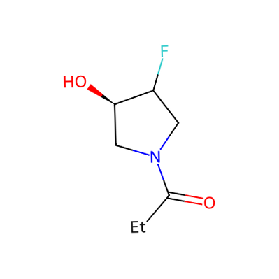 CCC(=O)N1CC(F)[C@H](O)C1